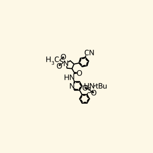 CC(C)(C)NS(=O)(=O)c1ccccc1-c1ccc(NC(=O)C2CN(S(C)(=O)=O)CC2c2cccc(C#N)c2)nc1